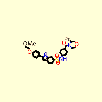 COCCOc1ccc(-c2cc3ccc(S(=O)(=O)NC4CCC(C(=O)N5CCOCC5C(C)C)CC4)cc3n2C)cc1